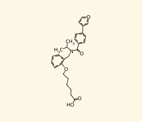 CC(C)N(Cc1ccccc1OCCCCCC(=O)O)C(=O)c1ccc(-c2ccoc2)cc1